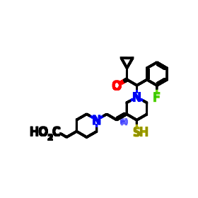 O=C(O)CC1CCN(C/C=C2\CN(C(C(=O)C3CC3)c3ccccc3F)CCC2S)CC1